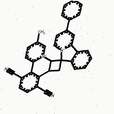 Cc1ccc2[n+](c1)C1C(CC13c1ccccc1-c1cc(-c4ccccc4)cc[n+]13)c1c(C#N)ccc(C#N)c1-2